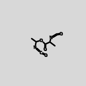 CC(N=C=O)OC(=O)C(C)N=C=O